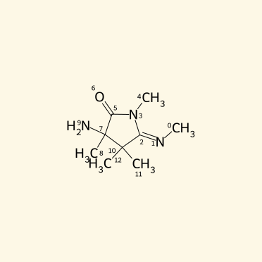 C/N=C1\N(C)C(=O)C(C)(N)C1(C)C